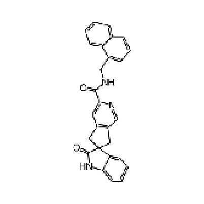 O=C(NCc1cccc2ccccc12)c1cc2c(cn1)CC1(C2)C(=O)Nc2ccccc21